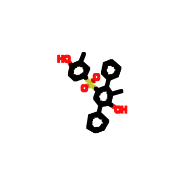 Cc1cc(S(=O)(=O)c2cc(-c3ccccc3)c(O)c(C)c2-c2ccccc2)ccc1O